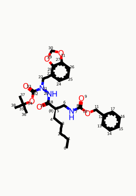 CCCCC[C@H](CNC(=O)OCc1ccccc1)C(=O)NN(Cc1cccc2c1OCO2)C(=O)OC(C)(C)C